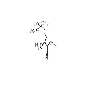 CC(C#N)C(C)CCCC(C)(C)O